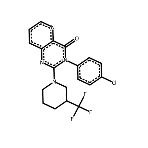 O=c1c2ncccc2nc(N2CCCC(C(F)(F)F)C2)n1-c1ccc(Cl)cc1